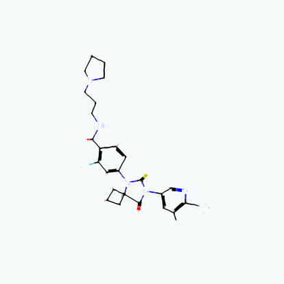 Cc1cc(N2C(=O)C3(CCC3)N(c3ccc(C(O)NCCCN4CCCC4)c(F)c3)C2=S)cnc1C#N